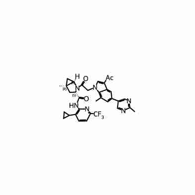 CC(=O)c1cn(CC(=O)N2[C@H](C(=O)Nc3nc(C(F)(F)F)ccc3C3CC3)C[C@@]3(C)C[C@@H]23)c2c(C)cc(-c3cnc(C)nc3)cc12